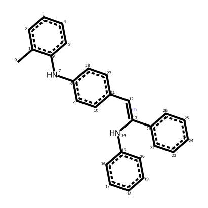 Cc1ccccc1Nc1ccc(/C=C(\Nc2ccccc2)c2ccccc2)cc1